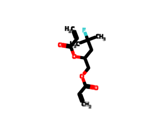 C=CC(=O)OCC(CC(C)(C)F)OC(=O)C=C